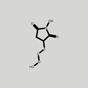 O=C1CC(SOOO)C(=O)N1O